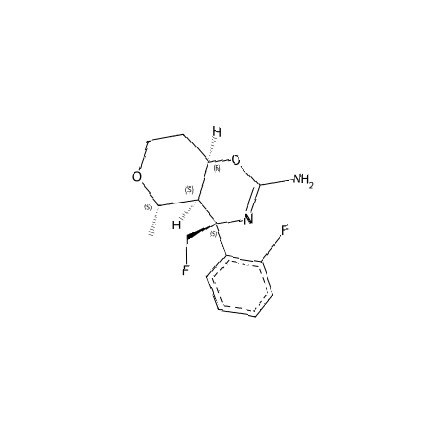 C[C@@H]1OCC[C@H]2OC(N)=N[C@](CF)(c3ccccc3F)[C@@H]12